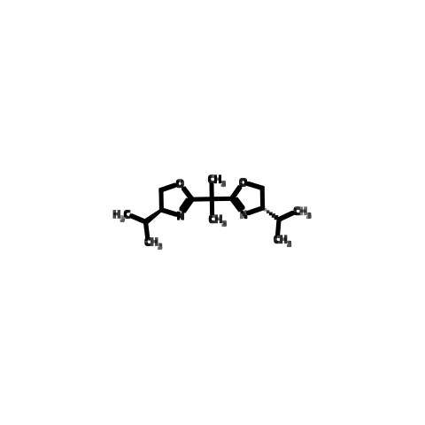 CC(C)[C@H]1COC(C(C)(C)C2=N[C@@H](C(C)C)CO2)=N1